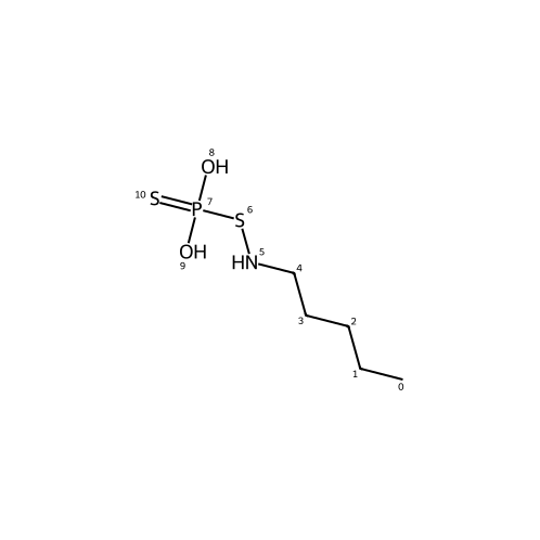 CCCCCNSP(O)(O)=S